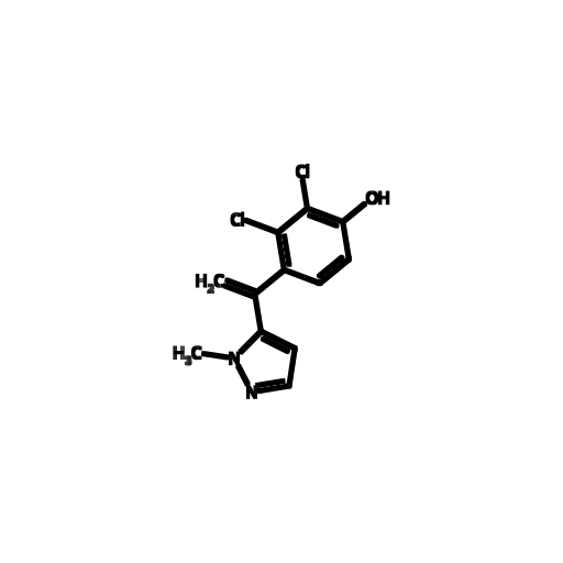 C=C(c1ccc(O)c(Cl)c1Cl)c1ccnn1C